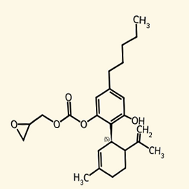 C=C(C)C1CCC(C)=C[C@H]1c1c(O)cc(CCCCC)cc1OC(=O)OCC1CO1